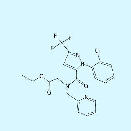 CCOC(=O)CN(Cc1ccccn1)C(=O)c1cc(C(F)(F)F)nn1-c1ccccc1Cl